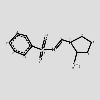 NC1CCCN1C=NS(=O)(=O)c1ccccc1